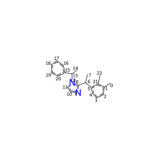 Cc1cccc(C(C)c2nccn2C(C)c2ccccc2)c1C